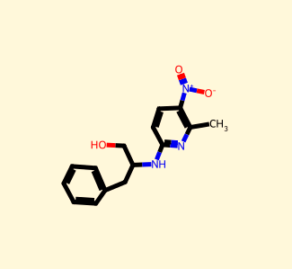 Cc1nc(NC(CO)Cc2ccccc2)ccc1[N+](=O)[O-]